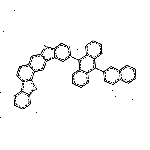 c1ccc2cc(-c3c4ccccc4c(-c4ccc5sc6cc7ccc8c9ccccc9sc8c7cc6c5c4)c4ccccc34)ccc2c1